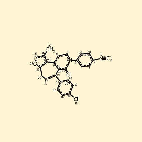 [C-]#[N+]c1ccc(-n2ccc3c(c2=O)C(c2ccc(Cl)cc2)=NCc2onc(C)c2-3)cc1